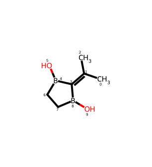 CC(C)=C1B(O)CCB1O